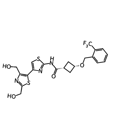 O=C(Nc1nc(-c2sc(CO)nc2CO)cs1)[C@H]1C[C@@H](OCc2ccccc2C(F)(F)F)C1